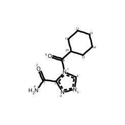 NC(=O)c1nncn1C(=O)C1CCCCC1